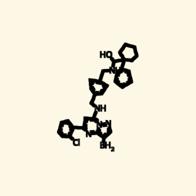 Bc1cnn2c(NCc3ccc(CNC(O)C4(c5ccccc5)CCCCC4)cc3)cc(-c3ccccc3Cl)nc12